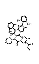 C=CC(=O)N1CC2C(=O)N(C3CCOCC3)c3c(c4cc(F)c(-c5c(O)cccc5F)nc4n(-c4c(C)ccnc4C(C)C)c3=O)N2CC1C